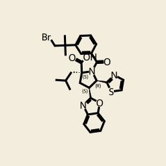 CC(C)C[C@@]1(C(=O)O)C[C@H](c2nc3ccccc3o2)[C@H](c2nccs2)N1C(=O)c1cccc(C(C)(C)CBr)c1